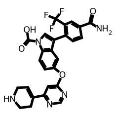 NC(=O)c1ccc(-c2cn(C(=O)O)c3ccc(Oc4cc(C5=CCNCC5)ncn4)cc23)c(C(F)(F)F)c1